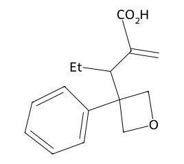 C=C(C(=O)O)C(CC)C1(c2ccccc2)COC1